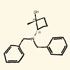 C[C@@]1(O)CC[C@@H]1N(Cc1ccccc1)Cc1ccccc1